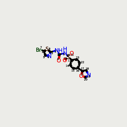 O=C(Nc1ncc(Br)s1)NS(=O)(=O)c1ccc(-c2cnco2)cc1